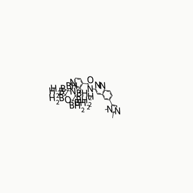 BC1(B)OC(B)(B)C(B)(B)N(c2cc(C(=O)Nc3cc4cc(-c5cnc(C)n5C)ccc4nn3)ccn2)C1(B)B